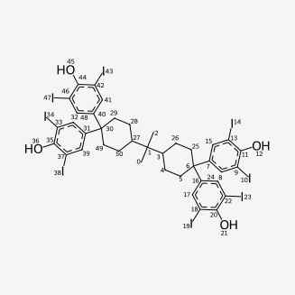 CC(C)(C1CCC(c2cc(I)c(O)c(I)c2)(c2cc(I)c(O)c(I)c2)CC1)C1CCC(c2cc(I)c(O)c(I)c2)(c2cc(I)c(O)c(I)c2)CC1